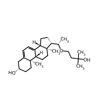 C[C@H](OCCC(C)(C)O)[C@H]1CC[C@H]2C3=CC=C4C[C@@H](O)CC[C@]4(C)[C@H]3CC[C@]12C